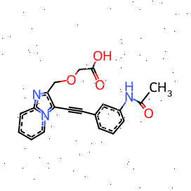 CC(=O)Nc1cccc(C#Cc2c(COCC(=O)O)nc3ccccn23)c1